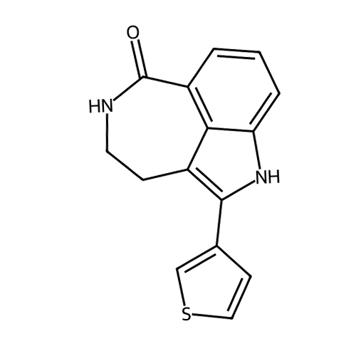 O=C1NCCc2c(-c3ccsc3)[nH]c3cccc1c23